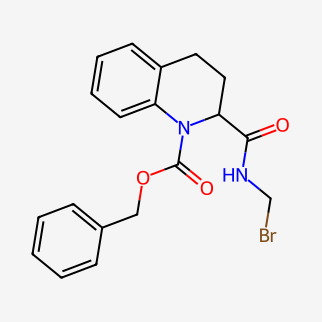 O=C(NCBr)C1CCc2ccccc2N1C(=O)OCc1ccccc1